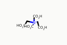 O=C(O)C[N+](CC(=O)O)(C(=O)O)C(=O)O